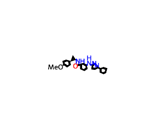 COc1ccc([C@@H]2C[C@H]2NC(=O)c2cccc(Nc3ccc(-c4ccccc4)nn3)c2)cc1